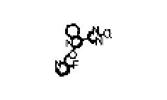 COc1ncc(-c2cc(OCc3ncccc3F)nc3c2CCCC3)cn1